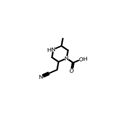 CC1CN(C(=O)O)C(CC#N)CN1